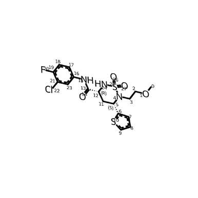 COCCN1[C@H](c2cccs2)C[C@H](C(=O)Nc2ccc(F)c(Cl)c2)NS1(=O)=O